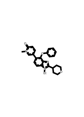 CCn1c(C2CCOCC2)nc2c(Oc3ccccc3)c(-c3ccc(=O)n(C)c3)ccc21